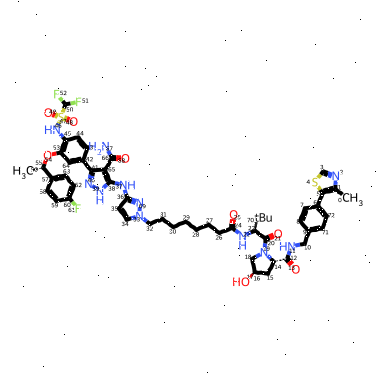 Cc1ncsc1-c1ccc(CNC(=O)[C@@H]2C[C@@H](O)CN2C(=O)[C@@H](NC(=O)CCCCCCCn2ccc(Nc3[nH]nc(-c4ccc(NS(=O)(=O)C(F)F)c(O[C@@H](C)c5ccc(F)cc5)c4)c3C(N)=O)n2)C(C)(C)C)cc1